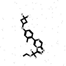 CCOC(F)(F)c1nnc2cnc(-c3ccc(OC4CC(F)(F)C4)cc3C)cn12